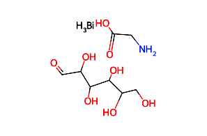 NCC(=O)O.O=CC(O)C(O)C(O)C(O)CO.[BiH3]